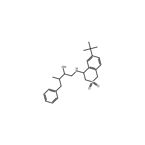 CC(Cc1ccccc1)C(O)CNC1CS(=O)(=O)Cc2ccc(C(C)(C)C)cc21